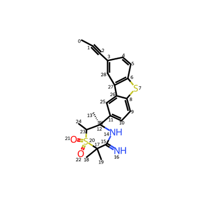 CC#Cc1ccc2sc3ccc([C@@]4(C)NC(=N)C(C)(C)S(=O)(=O)C4C)cc3c2c1